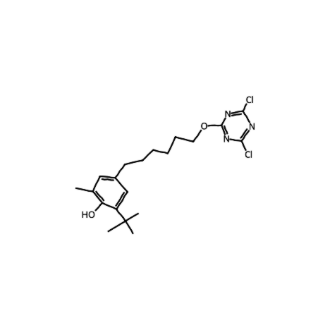 Cc1cc(CCCCCCOc2nc(Cl)nc(Cl)n2)cc(C(C)(C)C)c1O